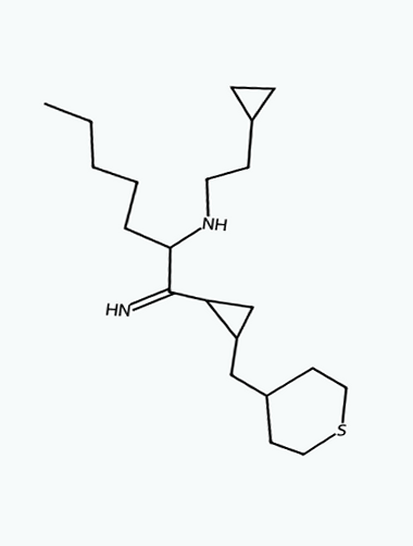 CCCCCC(NCCC1CC1)C(=N)C1CC1CC1CCSCC1